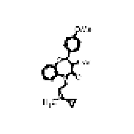 COc1ccc(C2Sc3ccccc3N(CCN(C)C3CC3)C(=O)C2OC(C)=O)cc1